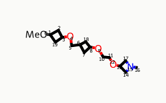 COC1CC(OCC2CC(OCCOC3CN(C)C3)C2)C1